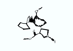 COC(=O)[C@@H]1CN(C#N)C[C@H]1c1ccc(OC)c(OC2CCCC2)c1